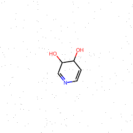 OC1C=CN=CC1O